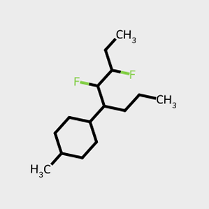 CCCC(C1CCC(C)CC1)C(F)C(F)CC